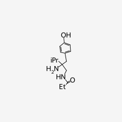 CCC(=O)NCC(N)(Cc1ccc(O)cc1)C(C)C